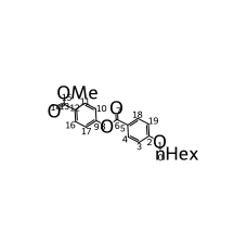 CCCCCCOc1ccc(C(=O)Oc2ccc(C(=O)OC)cc2)cc1